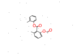 Cc1ccccc1OC(=O)c1c(C)cccc1O[C]=O